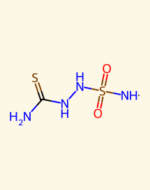 [NH]S(=O)(=O)NNC(N)=S